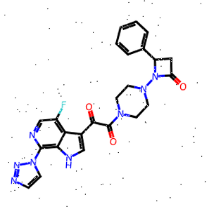 O=C(C(=O)N1CCN(N2C(=O)CC2c2ccccc2)CC1)c1c[nH]c2c(-n3ccnn3)ncc(F)c12